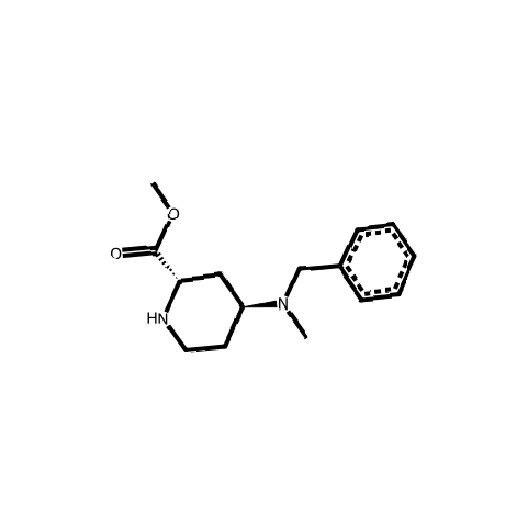 COC(=O)[C@@H]1C[C@@H](N(C)Cc2ccccc2)CCN1